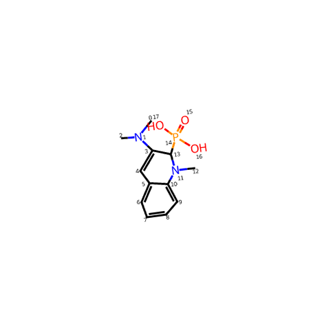 CN(C)C1=Cc2ccccc2N(C)C1P(=O)(O)O